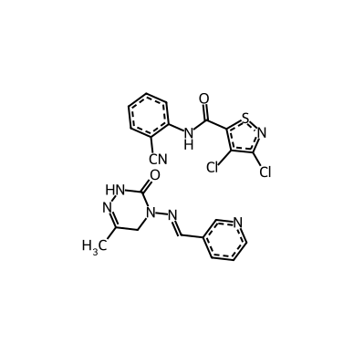 CC1=NNC(=O)N(/N=C/c2cccnc2)C1.N#Cc1ccccc1NC(=O)c1snc(Cl)c1Cl